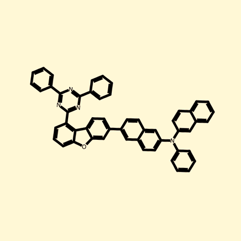 c1ccc(-c2nc(-c3ccccc3)nc(-c3cccc4oc5cc(-c6ccc7cc(N(c8ccccc8)c8ccc9ccccc9c8)ccc7c6)ccc5c34)n2)cc1